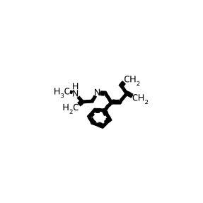 C=CC(=C)/C=C(\C=N/CC(=C)NC)c1ccccc1